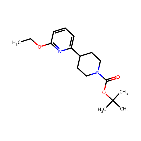 CCOc1cccc(C2CCN(C(=O)OC(C)(C)C)CC2)n1